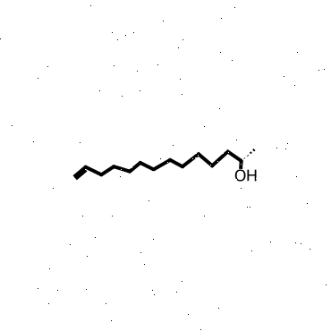 C=CCCCCCCCCCC[C@H](C)O